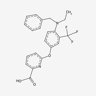 CCN(Cc1ccccc1)c1ccc(Oc2cccc(C(=O)O)n2)cc1C(F)(F)F